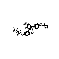 CC1(COc2ccc(-c3nc(O)nc(-c4cc(CNC(=O)C(C)(C)C(F)(F)F)ccc4Cl)n3)cc2)CCC1